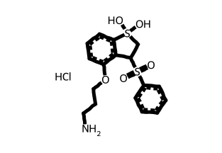 Cl.NCCCOc1cccc2c1C(S(=O)(=O)c1ccccc1)CS2(O)O